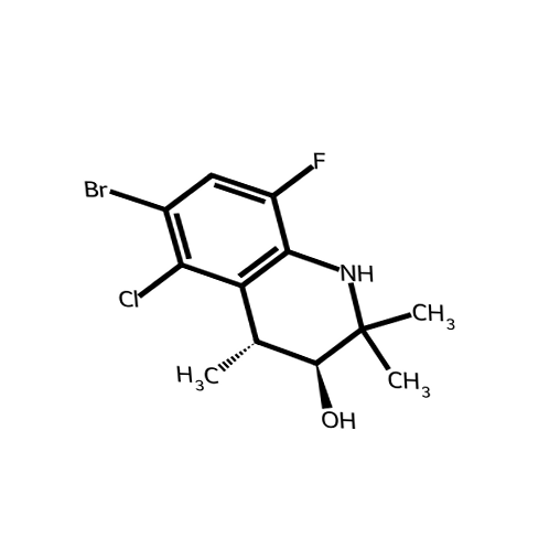 C[C@@H]1c2c(Cl)c(Br)cc(F)c2NC(C)(C)[C@H]1O